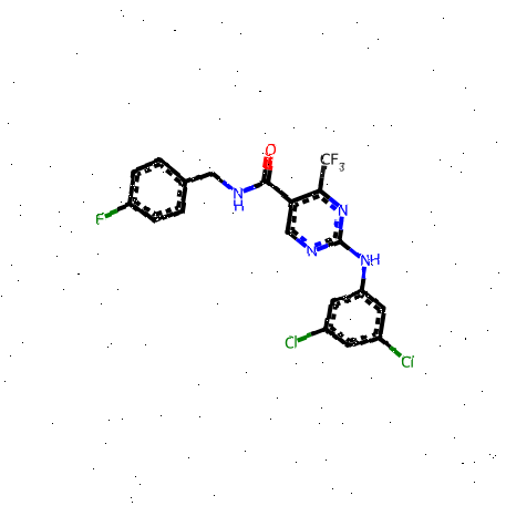 O=C(NCc1ccc(F)cc1)c1cnc(Nc2cc(Cl)cc(Cl)c2)nc1C(F)(F)F